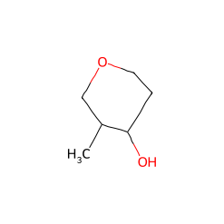 CC1COCCC1O